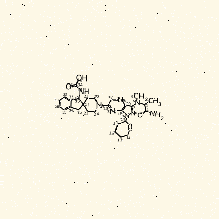 CC(C(N)=O)N(C)c1nn(C2CCCCO2)c2nc(N3CCC4(CC3)Cc3ccccc3[C@H]4NC(=O)O)cnc12